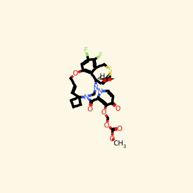 COC(=O)OCOc1c2n(ccc1=O)N1CN(C2=O)C2(/C=C/COc3cc(F)c(F)c4c3[C@H]1c1ccccc1SC4)CCC2